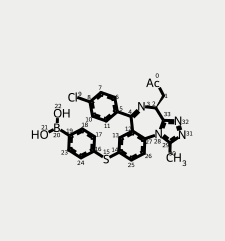 CC(=O)C[C@@H]1N=C(c2ccc(Cl)cc2)c2cc(Sc3ccc(B(O)O)cc3)ccc2-n2c(C)nnc21